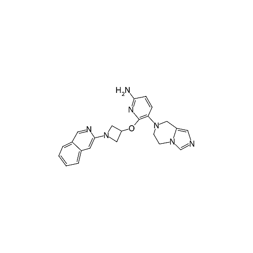 Nc1ccc(N2CCn3cncc3C2)c(OC2CN(c3cc4ccccc4cn3)C2)n1